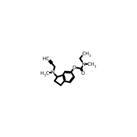 C#CCN(C)C1CCc2ccc(OC(=O)N(C)CC)cc21